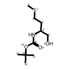 CSCCC(CO)NC(=O)OC(C)(C)C